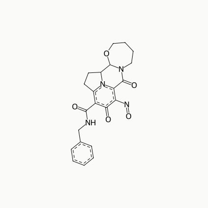 O=Nc1c2n3c(c(C(=O)NCc4ccccc4)c1=O)CCC3C1OCCCCN1C2=O